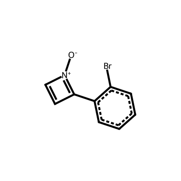 [O-][N+]1=C(c2ccccc2Br)C=C1